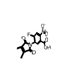 CC1=C(C)C(=O)N(c2cc(C(=O)O)c([N+](=O)[O-])cc2F)C1=O